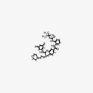 CC(C)(C)CC(=O)Nc1ccccc1NC(=O)c1ccc(CN(CCCN2CCOCC2)C(=O)Nc2cc(F)cc(F)c2)cc1